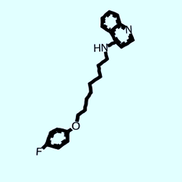 Fc1ccc(OCCCCCCCCNc2ccnc3ccccc23)cc1